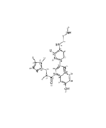 CNCCNc1ccc(-c2cc(C(=O)N(C)Cc3cnc(C)n3C)c3cc(O)ccc3n2)nc1C